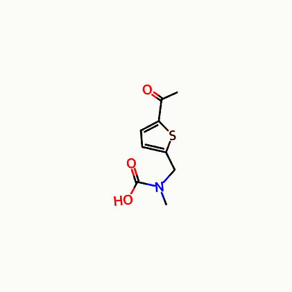 CC(=O)c1ccc(CN(C)C(=O)O)s1